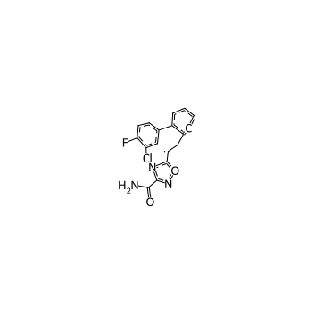 NC(=O)c1noc([CH]Cc2ccccc2-c2ccc(F)c(Cl)c2)n1